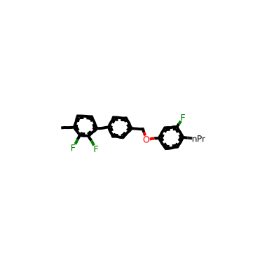 CCCc1ccc(OCc2ccc(-c3ccc(C)c(F)c3F)cc2)cc1F